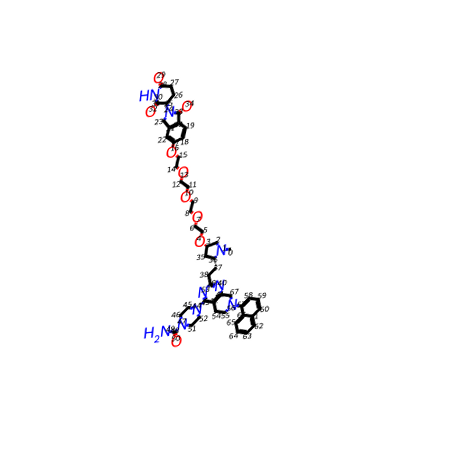 CN1C[C@H](OCCOCCOCCOCCOc2ccc3c(c2)CN(C2CCC(=O)NC2=O)C3=O)C[C@H]1CCc1nc2c(c(N3CCN(C(N)=O)CC3)n1)CCN(c1cccc3ccccc13)C2